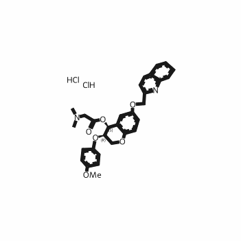 COc1ccc(O[C@@H]2COc3ccc(OCc4ccc5ccccc5n4)cc3[C@@H]2OC(=O)CN(C)C)cc1.Cl.Cl